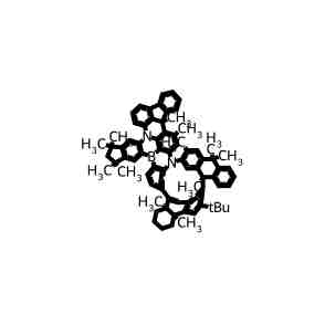 Cc1cc2c3cc1N1c4cc(ccc4B4c5cc6c(cc5N5c7cccc8c7C(C)(c7ccccc7-8)c7c(C)cc1c4c75)C(C)(C)CC6(C)C)C1=Cc4cc(c(C(C)(C)C)cc4C4(C)CCCCC14C)C3(C)c1ccccc1C2(C)C